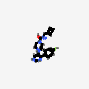 O=C(NCC1CCC1)N1CCN(c2cncnc2-c2ccc(F)cc2)CC1